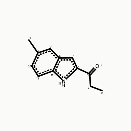 CCC(=O)c1cc2cc(C)ccc2[nH]1